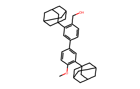 COc1ccc(-c2ccc(CO)c(C34CC5CC(CC(C5)C3)C4)c2)cc1C12CC3CC(CC(C3)C1)C2